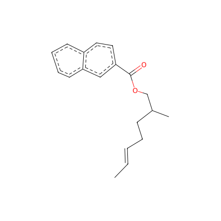 C/C=C/CCC(C)COC(=O)c1ccc2ccccc2c1